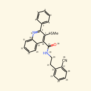 CSc1c(-c2ccccc2)nc2ccccc2c1C(=O)NCCc1ccccc1C#N